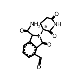 NC(=O)C1c2cccc([C]=O)c2C(=O)N1[C@H]1CCC(=O)NC1=O